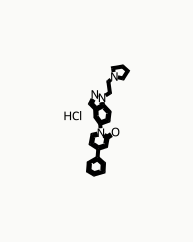 Cl.O=c1cc(-c2ccccc2)ccn1-c1ccc2c(cnn2CCN2CCCC2)c1